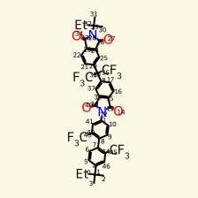 CCC(C)(C)c1ccc(-c2ccc(N3C(=O)c4ccc(C(c5ccc6c(c5)C(=O)N(C(C)(C)CC)C6=O)(C(F)(F)F)C(F)(F)F)cc4C3=O)cc2C(F)(F)F)c(C(F)(F)F)c1